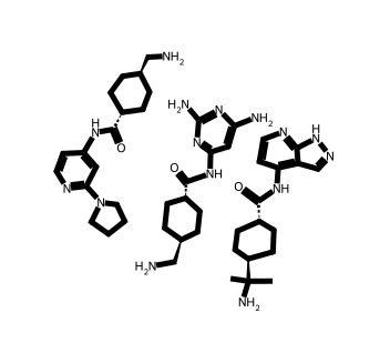 CC(C)(N)[C@H]1CC[C@H](C(=O)Nc2ccnc3[nH]ncc23)CC1.NC[C@H]1CC[C@H](C(=O)Nc2cc(N)nc(N)n2)CC1.NC[C@H]1CC[C@H](C(=O)Nc2ccnc(N3CCCC3)c2)CC1